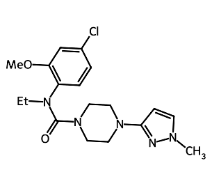 CCN(C(=O)N1CCN(c2ccn(C)n2)CC1)c1ccc(Cl)cc1OC